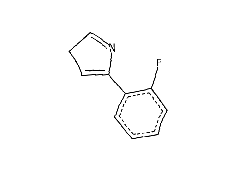 Fc1ccccc1C1=CCC=N1